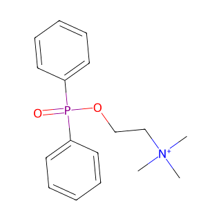 C[N+](C)(C)CCOP(=O)(c1ccccc1)c1ccccc1